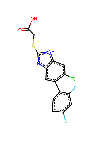 O=C(O)CSc1nc2cc(-c3ccc(F)cc3F)c(Cl)cc2[nH]1